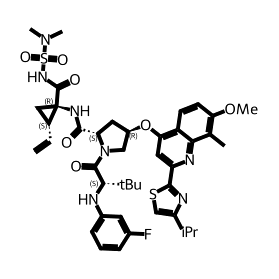 C=C[C@@H]1C[C@]1(NC(=O)[C@@H]1C[C@@H](Oc2cc(-c3nc(C(C)C)cs3)nc3c(C)c(OC)ccc23)CN1C(=O)[C@@H](Nc1cccc(F)c1)C(C)(C)C)C(=O)NS(=O)(=O)N(C)C